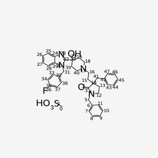 CS(=O)(=O)O.O=C1N(Cc2ccccc2)CCC1(CCN1CCC(O)(c2nc3ccccc3n2Cc2ccc(F)cc2)CC1)Cc1ccccc1